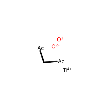 CC(=O)CC(C)=O.[O-2].[O-2].[Ti+4]